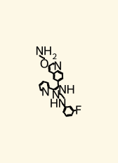 NCCOc1cnc2ccc(-c3[nH]c(CNc4cccc(F)c4)nc3-c3ccccn3)cc2c1